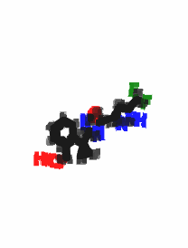 OCc1ccccc1C1(c2noc(-c3cc(C(F)F)[nH]n3)n2)CC1